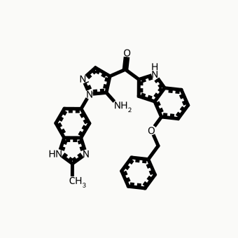 Cc1nc2cc(-n3ncc(C(=O)c4cc5c(OCc6ccccc6)cccc5[nH]4)c3N)ccc2[nH]1